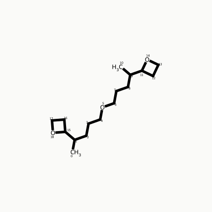 CC(CCCOCCCC(C)C1CCO1)C1CCO1